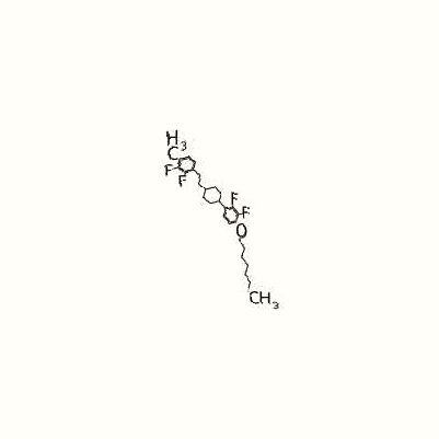 CCCCCCCCOc1ccc(C2CCC(CCc3ccc(C)c(F)c3F)CC2)c(F)c1F